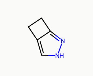 c1[nH]nc2c1CC2